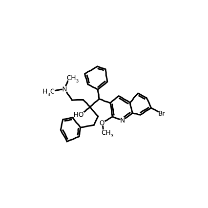 COc1nc2cc(Br)ccc2cc1C(c1ccccc1)C(O)(CCc1ccccc1)CCN(C)C